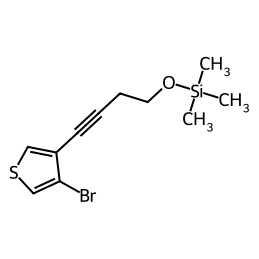 C[Si](C)(C)OCCC#Cc1cscc1Br